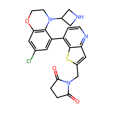 O=C1CCC(=O)N1Cc1cc2nccc(-c3cc(Cl)cc4c3N(C3CNC3)CCO4)c2s1